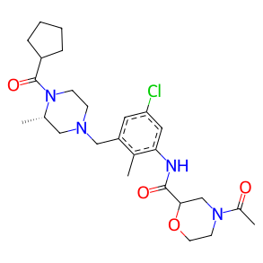 CC(=O)N1CCOC(C(=O)Nc2cc(Cl)cc(CN3CCN(C(=O)C4CCCC4)[C@@H](C)C3)c2C)C1